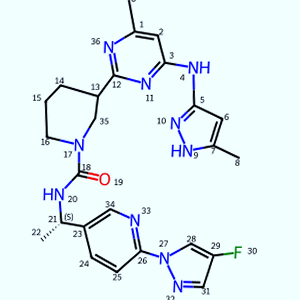 Cc1cc(Nc2cc(C)[nH]n2)nc(C2CCCN(C(=O)N[C@@H](C)c3ccc(-n4cc(F)cn4)nc3)C2)n1